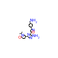 CC(C)n1cc(-c2cnc(N)c(-c3cc(-c4ccc(CN)cc4)no3)n2)ccc1=O